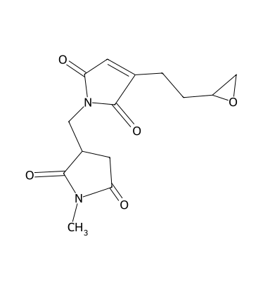 CN1C(=O)CC(CN2C(=O)C=C(CCC3CO3)C2=O)C1=O